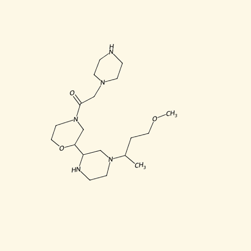 COCCC(C)N1CCNC(C2CN(C(=O)CN3CCNCC3)CCO2)C1